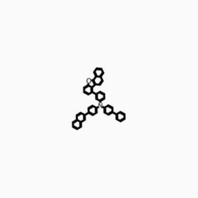 c1ccc(-c2ccc(N(c3ccc(-c4ccc5ccccc5c4)cc3)c3cccc(-c4cccc5oc6c7ccccc7ccc6c45)c3)cc2)cc1